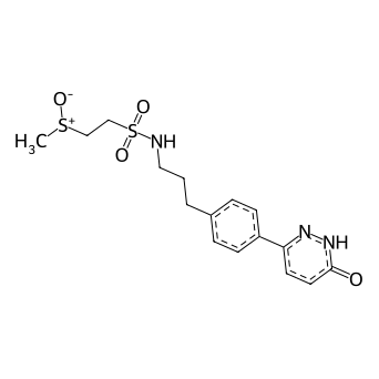 C[S+]([O-])CCS(=O)(=O)NCCCc1ccc(-c2ccc(=O)[nH]n2)cc1